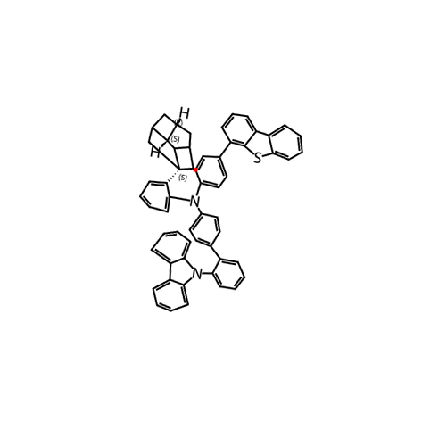 c1ccc(-n2c3ccccc3c3ccccc32)c(-c2ccc(N(c3ccc(-c4cccc5c4sc4ccccc45)cc3)c3ccccc3[C@]34CC5C[C@H]6CC(C3)[C@H]6C54)cc2)c1